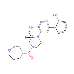 O=C(N1CCCNCC1)N1CCN2c3cc(-c4ccccc4O)nnc3NC[C@H]2C1